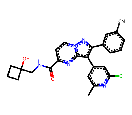 Cc1cc(-c2c(-c3cccc(C#N)c3)nn3ccc(C(=O)NCC4(O)CCC4)nc23)cc(Cl)n1